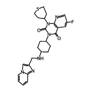 O=c1c2cc(F)cnc2n(C2CCSCC2)c(=O)n1C1CCC(NCc2cn3ccccc3n2)CC1